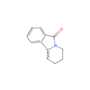 O=C1c2ccccc2C2=CCCCN12